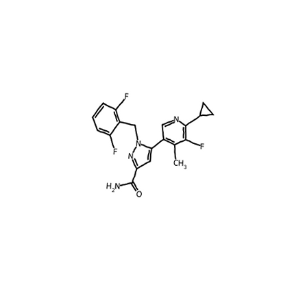 Cc1c(-c2cc(C(N)=O)nn2Cc2c(F)cccc2F)cnc(C2CC2)c1F